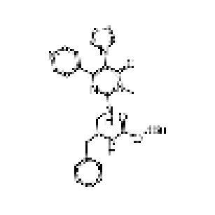 Cn1c(NCC(Cc2ccccc2)NC(=O)OC(C)(C)C)nc(-c2ccncc2)c(-n2cccc2)c1=O